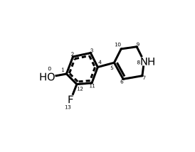 Oc1ccc(C2=CCNCC2)cc1F